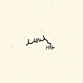 CNCCCC(C)CNCCCC(C)C